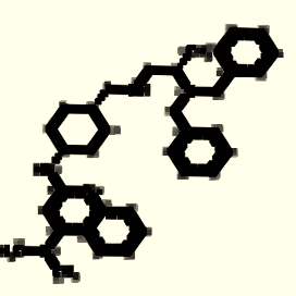 C[C@@H](CNC[C@H]1CC[C@@H](Nc2cc(N(C)C)c3ccccc3n2)CC1)N(Cc1ccccc1)Cc1ccccc1